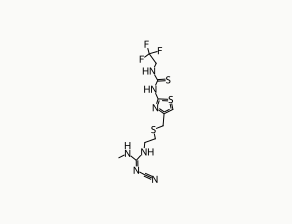 CN/C(=N/C#N)NCCSCc1csc(NC(=S)NCC(F)(F)F)n1